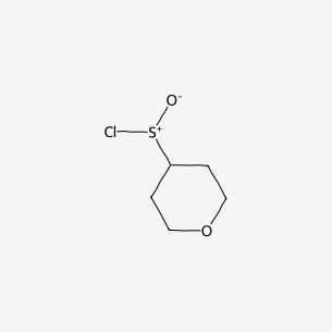 [O-][S+](Cl)C1CCOCC1